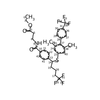 CCOC(=O)CCNC(=O)c1ccc(C(CCCC(F)(F)F)Sc2cc(C)c(-c3ccc(C(F)(F)F)cc3)c(C)c2)cc1